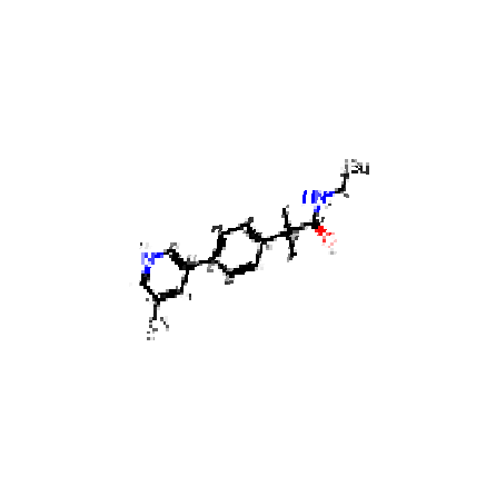 CCC(C)CNC(=O)C(C)(C)c1ccc(-c2cncc(C#N)c2)cc1